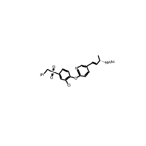 CC(=O)N[C@@H](C)/C=C/c1ccc(Oc2ccc(S(=O)(=O)CC(C)C)cc2Cl)nc1